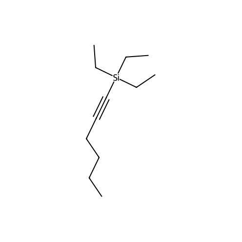 CCCCC#C[Si](CC)(CC)CC